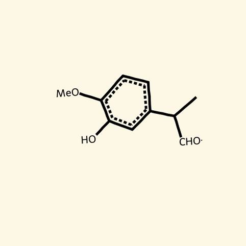 COc1ccc(C(C)[C]=O)cc1O